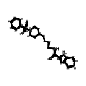 O=C(NCCCCC1CCN(S(=O)(=O)c2ccccc2)CC1)c1cc2cnccc2[nH]1